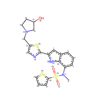 CN(c1cccc2cc(-c3ncc(CN4CCC(O)C4)s3)[nH]c12)S(=O)(=O)c1cccs1